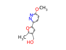 COc1ccc(-c2cc(CO)c(C)o2)nn1